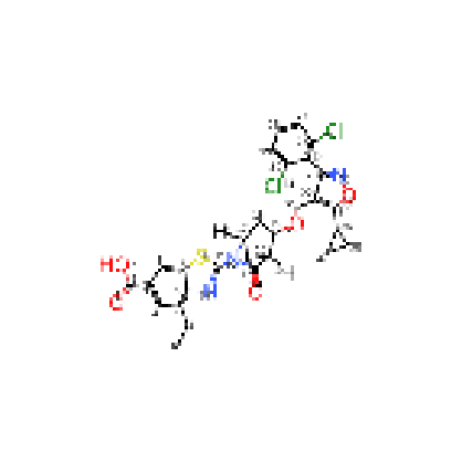 CCc1cc(C(=O)O)cc2sc(N3C(=O)[C@@H]4C[C@H]3C[C@H]4OCc3c(-c4c(Cl)cccc4Cl)noc3C3CC3)nc12